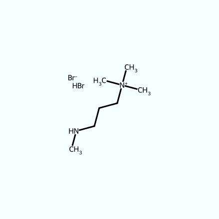 Br.CNCCC[N+](C)(C)C.[Br-]